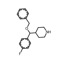 Fc1ccc(C(OCc2ccccc2)C2CCNCC2)cc1